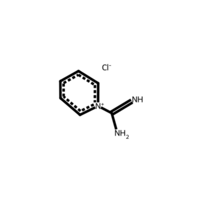 N=C(N)[n+]1ccccc1.[Cl-]